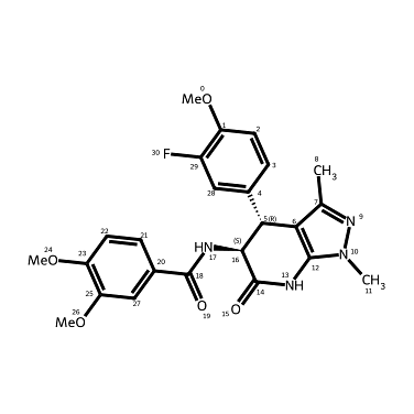 COc1ccc([C@@H]2c3c(C)nn(C)c3NC(=O)[C@H]2NC(=O)c2ccc(OC)c(OC)c2)cc1F